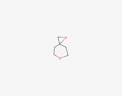 C1CC2(CCO1)CO2